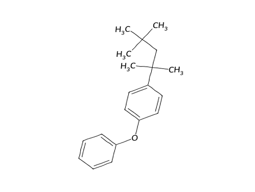 CC(C)(C)CC(C)(C)c1ccc(Oc2ccccc2)cc1